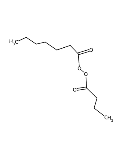 CCCCCCC(=O)OOC(=O)CCC